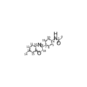 CC(=O)Nc1ccc(C2=Nc3ccc(C)cc3OC2)cc1